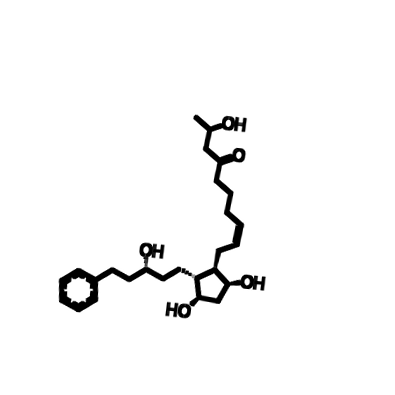 CC(O)CC(=O)CCC/C=C\C[C@@H]1[C@@H](CC[C@@H](O)CCc2ccccc2)[C@H](O)C[C@@H]1O